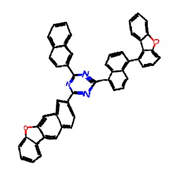 c1ccc2cc(-c3nc(-c4ccc5cc6c(cc5c4)oc4ccccc46)nc(-c4cccc5c(-c6cccc7oc8ccccc8c67)cccc45)n3)ccc2c1